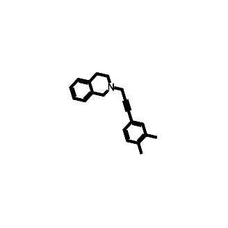 Cc1ccc(C#CCN2CCc3ccccc3C2)cc1C